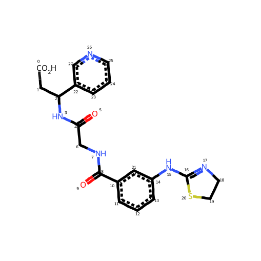 O=C(O)CC(NC(=O)CNC(=O)c1cccc(NC2=NCCS2)c1)c1cccnc1